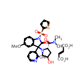 COc1ccc2c(c1)C(c1cccnc1OC)(N1C[C@H](O)C[C@H]1C(=O)N(C)C)C(=O)N2S(=O)(=O)c1cccs1.O=C(O)C=CC(=O)O